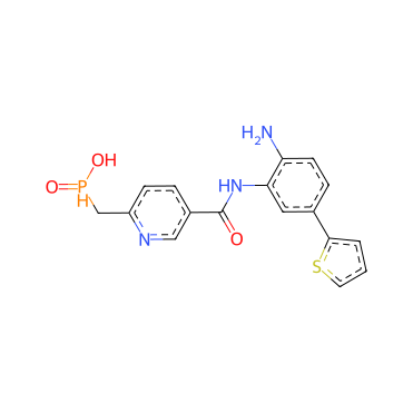 Nc1ccc(-c2cccs2)cc1NC(=O)c1ccc(C[PH](=O)O)nc1